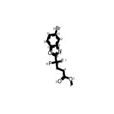 COC(=O)CCC(F)(F)c1nc2cc(Br)ccc2o1